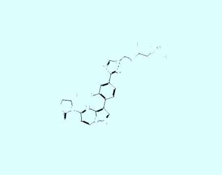 CC(C)[C@H]1COC(=O)N1c1ccn2ncc(-c3ccc(-c4ncn(COCC[Si](C)(C)C)n4)cc3F)c2n1